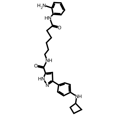 Nc1ccccc1NC(=O)CCCCCNC(=O)c1cc(-c2ccc(NC3CCC3)cc2)n[nH]1